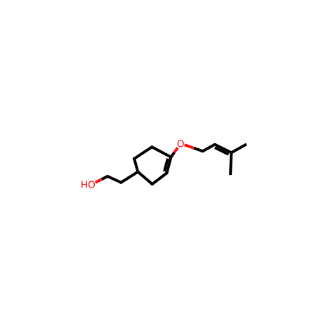 CC(C)=CCOC1=CCC(CCO)CC1